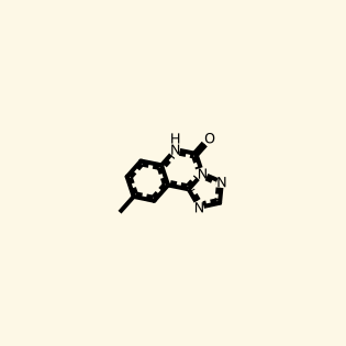 Cc1ccc2[nH]c(=O)n3ncnc3c2c1